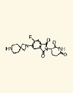 O=C1CCC(N2C(=O)c3cc(F)c(N4CC5(CCNCC5)C4)cc3C2=O)C(=O)N1